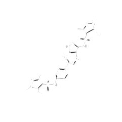 Cc1nn(C)c(Cl)c1S(=O)(=O)Nc1ccc(-c2cnc3c(NS(=O)(=O)c4c(C)nn(C)c4Cl)n[nH]c3n2)cc1